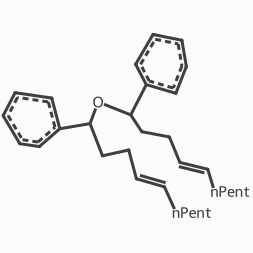 CCCCC/C=C/CCC(OC(CC/C=C/CCCCC)c1ccccc1)c1ccccc1